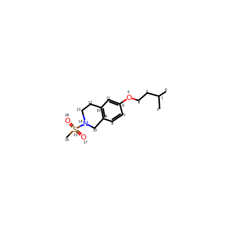 CC(C)CCOc1ccc2c(c1)CCN(S(C)(=O)=O)C2